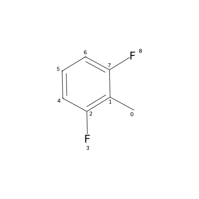 Cc1c(F)cccc1F